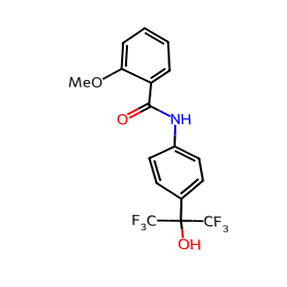 COc1ccccc1C(=O)Nc1ccc(C(O)(C(F)(F)F)C(F)(F)F)cc1